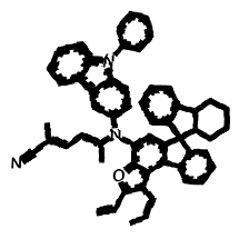 C=Cc1oc2c(N(/C(C)=C/C=C(\C)C#N)c3ccc4c(c3)c3ccccc3n4-c3ccccc3)cc3c(c2c1/C=C\C)-c1ccccc1C31c2ccccc2C2CCCCC21